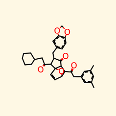 Cc1cc(C)cc(CC(=O)C2C3C=CC4(O3)C(C(=O)CC3CCCCC3)C(Cc3ccc5c(c3)OCO5)C(=O)C24)c1